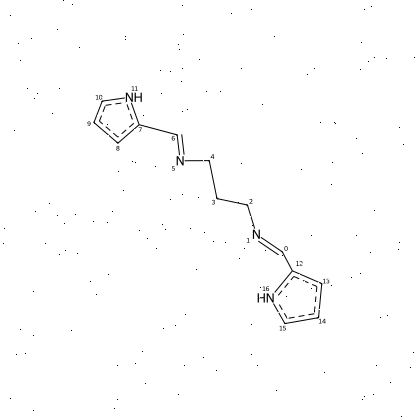 C(=NCCCN=Cc1ccc[nH]1)c1ccc[nH]1